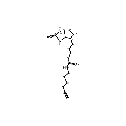 C#CCCCCNC(=O)CCCC[C@@H]1SCC2NC(=O)NC21